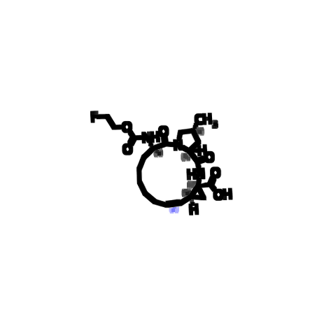 C[C@@H]1C[C@H]2C(=O)N[C@]3(C(=O)O)C[C@H]3/C=C\CCCCC[C@H](NC(=O)OCCF)C(=O)N2C1